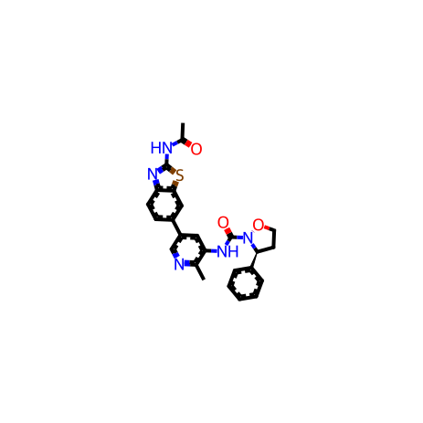 CC(=O)Nc1nc2ccc(-c3cnc(C)c(NC(=O)N4OCC[C@H]4c4ccccc4)c3)cc2s1